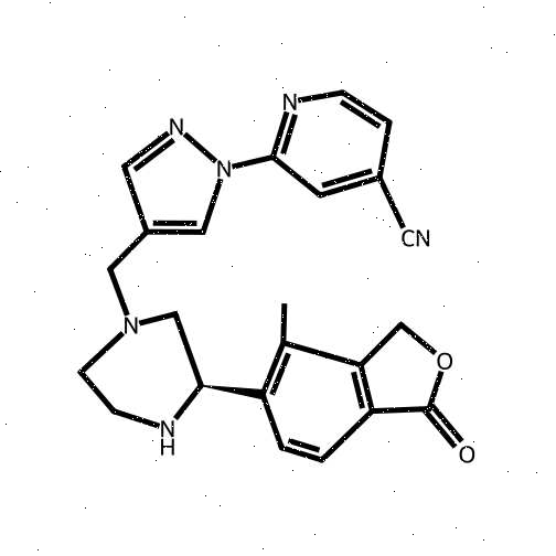 Cc1c([C@@H]2CN(Cc3cnn(-c4cc(C#N)ccn4)c3)CCN2)ccc2c1COC2=O